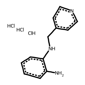 Cl.Cl.Cl.Nc1ccccc1NCc1ccncc1